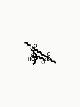 CCCCC(CCCC)(CCCC(=O)O)C(=O)O.CCCCOC(=O)CCCCCCCC(=O)OCCCC